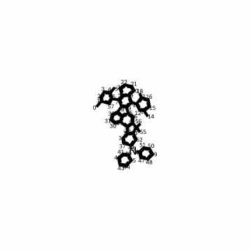 Cc1ccc(C)c(-c2c3c(c(-c4cc(C)ccc4C)c4ccccc24)-c2cc4c(c5cccc-3c25)-c2ccc(N(c3ccccc3)c3ccccc3)cc2C4(C)C)c1